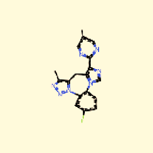 Cc1cnc(-c2ncn3c2Cc2c(C)nnn2-c2cc(F)ccc2-3)nc1